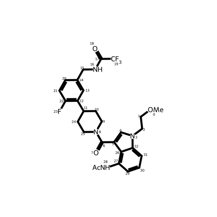 COCCn1cc(C(=O)N2CCC(c3cc(CNC(=O)C(F)(F)F)ccc3F)CC2)c2c(NC(C)=O)cccc21